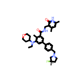 CCN(c1cc(-c2ccc(CN3CC[C@](C)(F)C3)cc2)cc(C(=O)NCc2c(C)cc(C)[nH]c2=O)c1C)C1CCOCC1